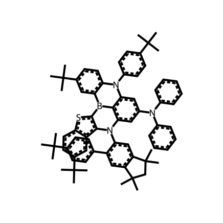 CC(C)(C)c1ccc(-c2cc3c(cc2N2c4cc(N(c5ccccc5)c5ccccc5)cc5c4B(c4cc(C(C)(C)C)ccc4N5c4ccc(C(C)(C)C)cc4)c4sc5ccc(C(C)(C)C)cc5c42)C(C)(C)CC3(C)C)cc1